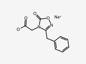 O=C([O-])Cn1c(Cc2ccccc2)noc1=O.[Na+]